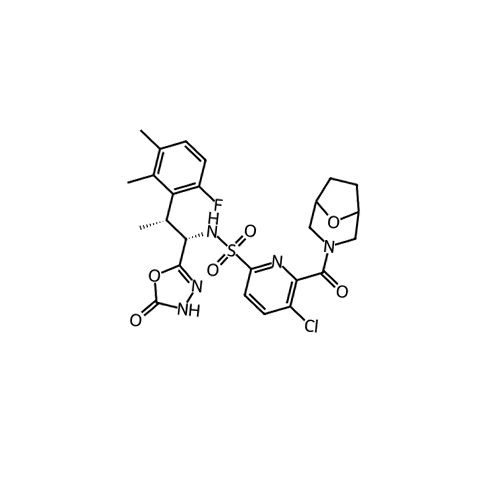 Cc1ccc(F)c([C@@H](C)[C@H](NS(=O)(=O)c2ccc(Cl)c(C(=O)N3CC4CCC(C3)O4)n2)c2n[nH]c(=O)o2)c1C